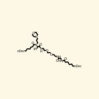 CCCCCCCCCCCCCCCC(=O)NCC(=O)NCCOCCOCCNC(=O)C(C(C)C)N(CCCN1CCOCC1)C(=O)CCCCCCCCCCCCCCC